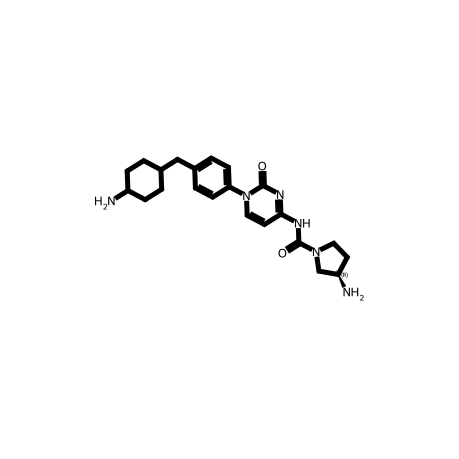 NC1CCC(Cc2ccc(-n3ccc(NC(=O)N4CC[C@@H](N)C4)nc3=O)cc2)CC1